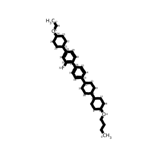 CCCCOC1CCC(C2CCC(c3ccc(-c4ccc(C5CCC(OCC)CC5)cc4F)cc3)CC2)CC1